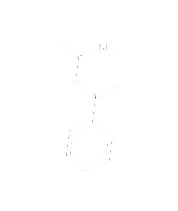 C=C(N)OC(=C)c1ccccc1